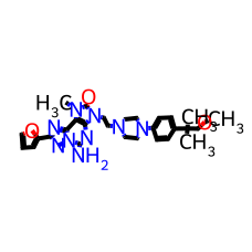 COCC(C)(C)c1ccc(N2CCN(CCn3c(=O)n(C)c4c3nc(N)n3nc(-c5ccco5)nc43)CC2)cc1